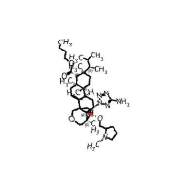 CCCCOC(=O)[C@@H]1[C@@](C)([C@H](C)C(C)C)CC[C@]2(C)[C@H]3CC[C@@H]4C5(COC[C@]4(C)[C@@H](OCC4CCCN4C)[C@H](n4nnc(N)n4)C5)C3=CC[C@@]12C